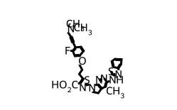 Cc1c(Nc2nc3ccccc3s2)nnc2c1CCN2c1nc(C(=O)O)c(CCCOc2ccc(C#CCN(C)C)c(F)c2)s1